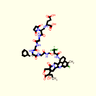 CC[C@@]1(O)C(=O)OCc2c1cc1n(c2=O)Cc2c-1nc1cc(F)c(C)c3c1c2[C@@H](NC(=O)[C@@H](OCNC(=O)CNC(=O)[C@H](Cc1ccccc1)NC(=O)CNC(=O)CNC(=O)C(CNC(CCC(=O)O)C(=O)O)N1C(=O)C=CC1=O)C(F)(F)F)CC3